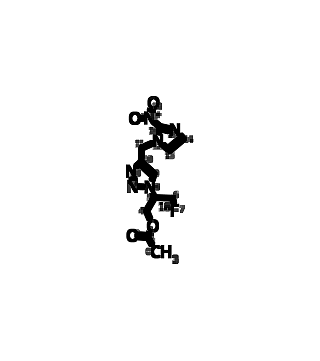 CC(=O)OCC(C[18F])n1cc(Cn2ccnc2[N+](=O)[O-])nn1